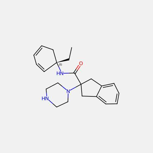 CC[C@@]1(NC(=O)C2(N3CCNCC3)Cc3ccccc3C2)C=CC=CC1